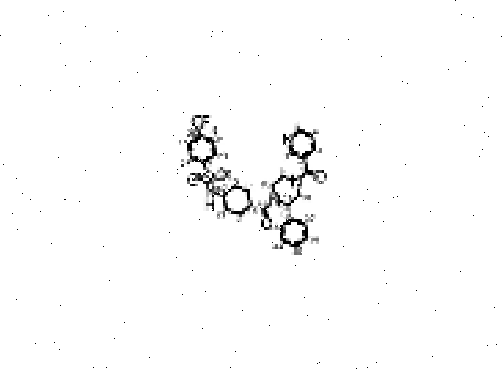 O=C(c1cccnc1)N1CCN(C(=O)[C@H]2CC[C@H](NS(=O)(=O)c3ccc(C(F)(F)F)cc3)CC2)[C@@H](c2ccccc2)C1